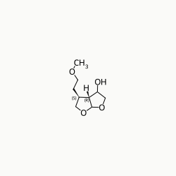 COCC[C@@H]1COC2OCC(O)[C@H]21